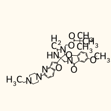 C=C1N[C@@](CN2Cc3ccc(OC)cc3C2=O)(c2cc3nc(N4CCN(CC)CC4)ccc3o2)C(=O)N1COC(=O)C(C)(C)C